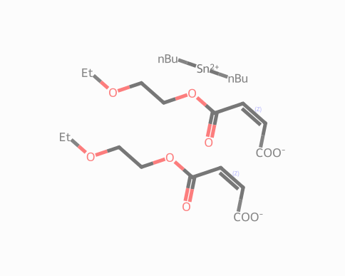 CCC[CH2][Sn+2][CH2]CCC.CCOCCOC(=O)/C=C\C(=O)[O-].CCOCCOC(=O)/C=C\C(=O)[O-]